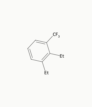 CCc1cccc(C(F)(F)F)c1CC